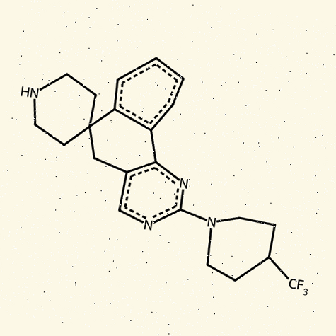 FC(F)(F)C1CCN(c2ncc3c(n2)-c2ccccc2C2(CCNCC2)C3)CC1